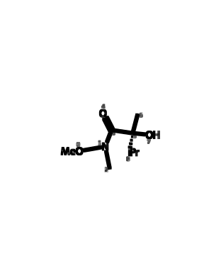 CON(C)C(=O)[C@@](C)(O)C(C)C